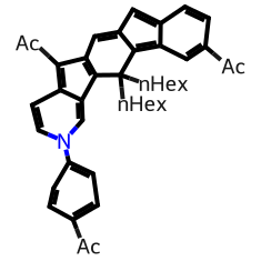 CCCCCCC1(CCCCCC)C2=c3cc(C(C)=O)ccc3=CC2=Cc2c(C(C)=O)c3ccn(-c4ccc(C(C)=O)cc4)cc-3c21